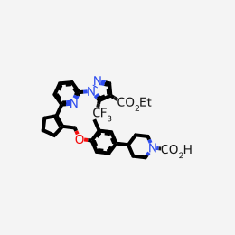 CCOC(=O)c1cnn(-c2cccc(C3=C(COc4ccc(C5CCN(C(=O)O)CC5)cc4C)CCC3)n2)c1C(F)(F)F